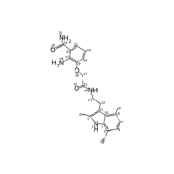 Cc1[nH]c2c(F)ccc(C)c2c1CCNC(=O)COc1cccc(C(N)=O)c1N